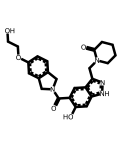 O=C1CCCCN1Cc1n[nH]c2cc(O)c(C(=O)N3Cc4ccc(OCCO)cc4C3)cc12